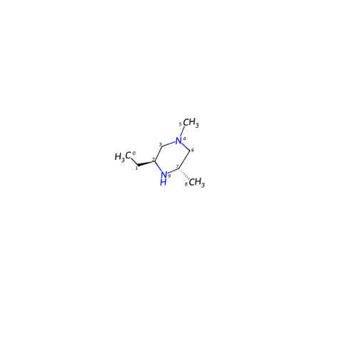 CC[C@H]1CN(C)C[C@H](C)N1